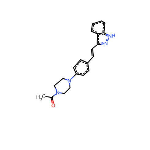 CC(=O)N1CCN(c2ccc(C=Cc3n[nH]c4ccccc34)cc2)CC1